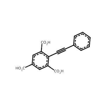 O=C(O)c1cc(C(=O)O)c(C#Cc2ccccc2)c(C(=O)O)c1